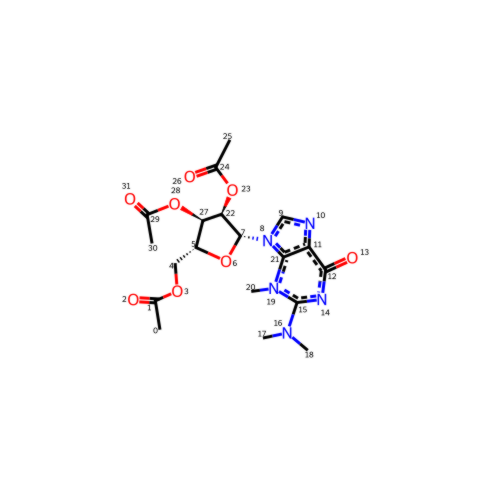 CC(=O)OC[C@H]1O[C@@H](n2cnc3c(=O)nc(N(C)C)n(C)c32)[C@H](OC(C)=O)[C@@H]1OC(C)=O